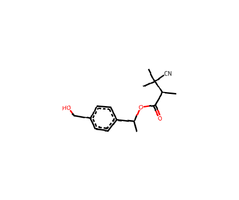 CC(OC(=O)C(C)C(C)(C)C#N)c1ccc(CO)cc1